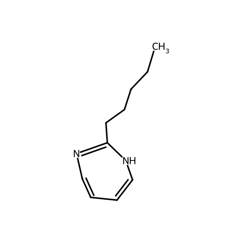 CCCCCC1=NC=CC=CN1